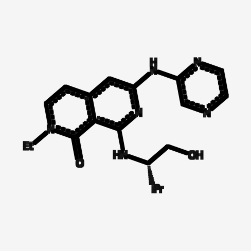 CCn1ccc2cc(Nc3cnccn3)nc(N[C@H](CO)C(C)C)c2c1=O